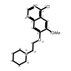 COc1cc2c(Cl)ncnc2cc1OCCN1CCCCC1